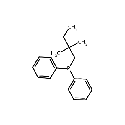 CCC(C)(C)CP(c1ccccc1)c1ccccc1